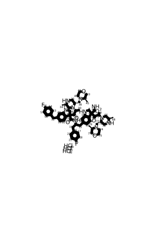 CC(C(=O)C1(C(N)=O)CNc2cc(CC(Cc3ccc(F)cc3)NC(=O)C3(C(=O)C(C)N4C[C@@H](C)NC[C@@H]4CN4CCOC[C@H]4C)CNc4cc(Cc5ccc(F)cc5)ccc43)ccc21)N1C[C@@H](C)NC[C@@H]1CN1CCOC[C@H]1C.Cl.Cl.Cl